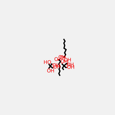 CCC(CO)(CO)CO.CCCCCCCC(=O)O.CCCCCCCCC(=O)O.OCC(CO)(CO)CO